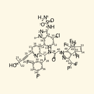 Cn1nc(NS(N)(=O)=O)c2c(Cl)ccc(-c3ccc(C#CC(C)(C)O)nc3[C@H](Cc3cc(F)cc(F)c3)NC(=O)Cn3nc(C(F)F)c4c3C(F)(F)[C@@H]3C=C[C@H]43)c21